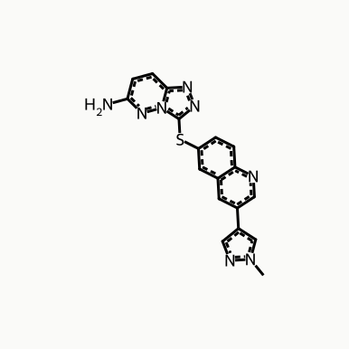 Cn1cc(-c2cnc3ccc(Sc4nnc5ccc(N)nn45)cc3c2)cn1